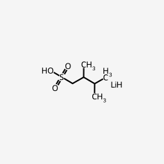 CC(C)C(C)CS(=O)(=O)O.[LiH]